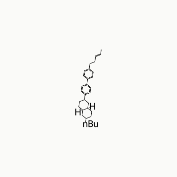 C/C=C/CCc1ccc(-c2ccc([C@@H]3CC[C@@H]4CC(CCCC)CC[C@@H]4C3)cc2)cc1